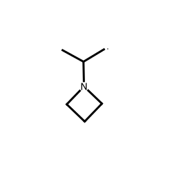 [CH2]C(C)N1CCC1